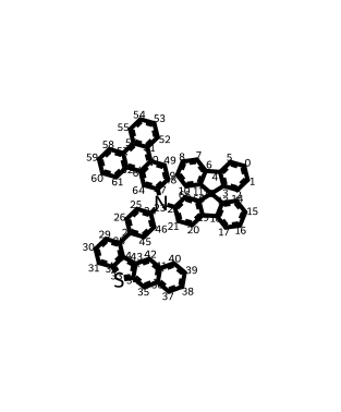 c1ccc2c(c1)-c1ccccc1C21c2ccccc2-c2ccc(N(c3ccc(-c4cccc5sc6cc7ccccc7cc6c45)cc3)c3ccc4c5ccccc5c5ccccc5c4c3)cc21